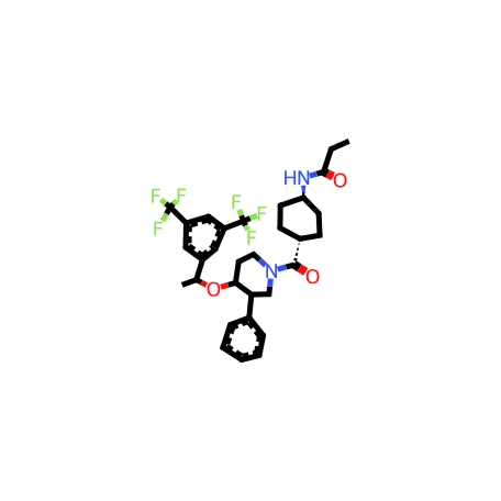 CCC(=O)N[C@H]1CC[C@H](C(=O)N2CCC(OC(C)c3cc(C(F)(F)F)cc(C(F)(F)F)c3)C(c3ccccc3)C2)CC1